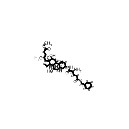 COC(=O)CC[C@@H](C)[C@H]1CC[C@H]2[C@@H]3[C@H](O)C[C@@H]4C[C@@H](NC(=O)[C@@H](N)CCC(=O)OCc5ccccc5)CC[C@]4(C)[C@H]3C[C@H](O)[C@]12C